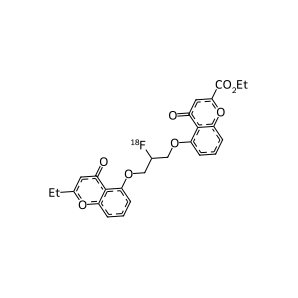 CCOC(=O)c1cc(=O)c2c(OCC([18F])COc3cccc4oc(CC)cc(=O)c34)cccc2o1